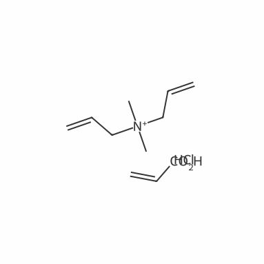 C=CC(=O)O.C=CC[N+](C)(C)CC=C.Cl